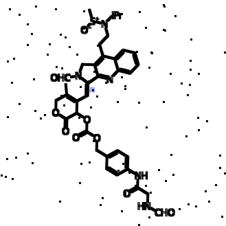 CC1=C(/C=C2/c3nc4ccccc4c(CCN(C(C)C)[S+](C)[O-])c3CN2C=O)C(OC(=O)OCc2ccc(NC(=O)CNC=O)cc2)C(=O)OC1